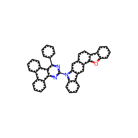 c1ccc(-c2nc(-n3c4ccccc4c4cc5c(ccc6c7ccccc7oc56)cc43)nc3c4ccccc4c4ccccc4c23)cc1